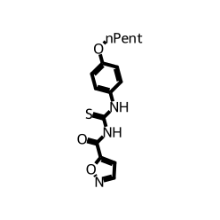 CCCCCOc1ccc(NC(=S)NC(=O)c2ccno2)cc1